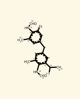 CCc1cc(Cc2cc(C)c(NC=O)c(C(C)I)c2)cc(C)c1NC=O